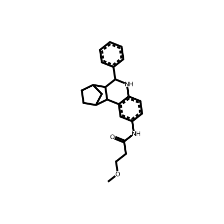 COCCC(=O)Nc1ccc2c(c1)C1C3CCC(C3)C1C(c1ccccc1)N2